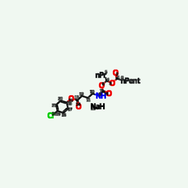 CCCCCC(=O)OC(CCC)OC(=O)NCCCC(=O)Oc1ccc(Cl)cc1.[NaH]